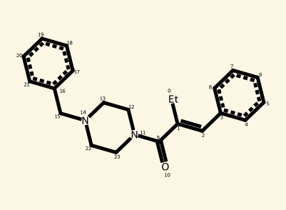 CC/C(=C\c1ccccc1)C(=O)N1CCN(Cc2ccccc2)CC1